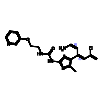 C=C(Cl)/C=C(\C=C/N)c1sc(NC(=O)NCCOc2cccnc2)nc1C